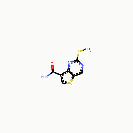 CSc1ncc2scc(C(N)=O)c2n1